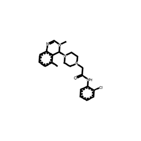 Cc1cccc2c1C(N1CCN(CC(=O)Nc3ccccc3Cl)CC1)N(C)C=N2